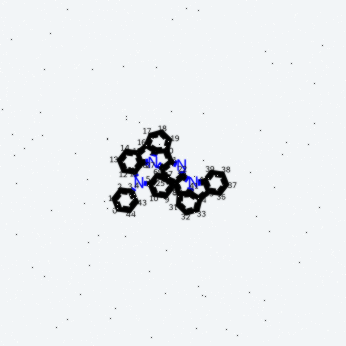 c1ccc(N(c2ccccc2)c2cccc3c4cccc5c6nc7c(cc6n(c23)c45)c2cccc3c4ccccc4n7c32)cc1